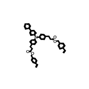 C=Cc1ccc(COC(=O)CCc2ccc(N(c3ccc(CCC(=O)OCc4ccc(C=C)cc4)cc3)c3ccc(-c4ccccc4)cc3)cc2)cc1